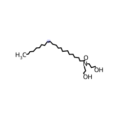 CCCCCCCC/C=C\CCCCCCCCCCCC(=O)N(CCCO)CCCO